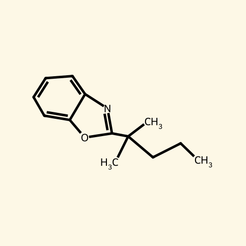 CCCC(C)(C)c1nc2ccccc2o1